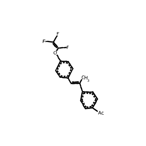 CC(=O)c1ccc(C(C)=Cc2ccc(OC(F)=C(F)F)cc2)cc1